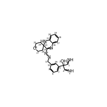 N=CC(O)(C=N)c1cccc(CN=NC2=Nc3ccccc3NC23CCOCC3)c1